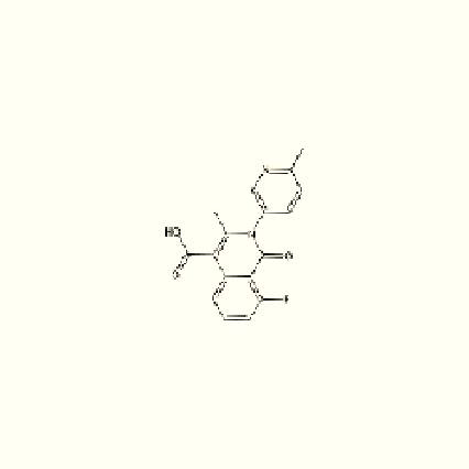 Cc1ccc(-n2c(C)c(C(=O)O)c3cccc(F)c3c2=O)cn1